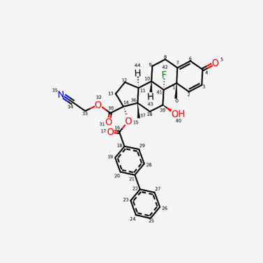 C[C@]12C=CC(=O)C=C1CC[C@H]1[C@@H]3CC[C@](OC(=O)c4ccc(-c5ccccc5)cc4)(C(=O)OCC#N)[C@@]3(C)C[C@H](O)[C@@]12F